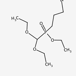 CCOC(OCC)P(=O)(CCCBr)OCC